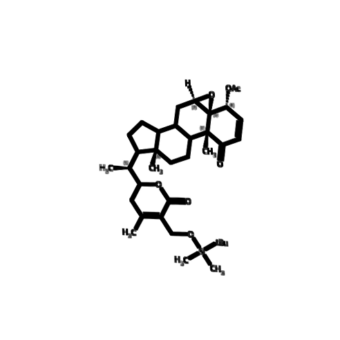 CC(=O)O[C@@H]1C=CC(=O)[C@]2(C)C3CC[C@@]4(C)C(CCC4[C@H](C)C4CC(C)=C(CO[Si](C)(C)C(C)(C)C)C(=O)O4)C3C[C@H]3O[C@]132